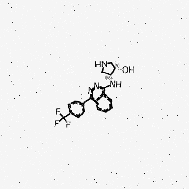 O[C@H]1CNC[C@H]1Nc1nnc(-c2ccc(C(F)(F)F)cc2)c2ccccc12